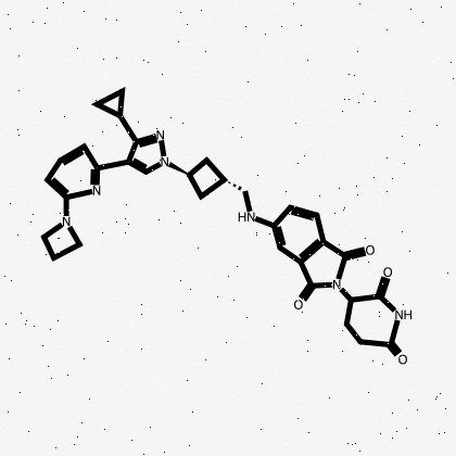 O=C1CCC(N2C(=O)c3ccc(NC[C@H]4C[C@H](n5cc(-c6cccc(N7CCC7)n6)c(C6CC6)n5)C4)cc3C2=O)C(=O)N1